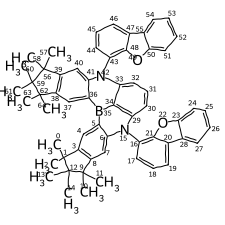 CC1(C)c2cc3c(cc2C(C)(C)C1(C)C)N(c1cccc2c1oc1ccccc12)c1cccc2c1B3c1cc3c(cc1N2c1cccc2c1oc1ccccc12)C(C)(C)C(C)(C)C3(C)C